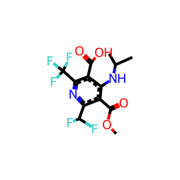 COC(=O)c1c(C(F)F)nc(C(F)(F)F)c(C(=O)O)c1NC(C)C